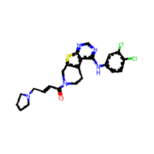 O=C(C=CCN1CCCC1)N1CCc2c(sc3ncnc(Nc4ccc(Cl)c(Cl)c4)c23)C1